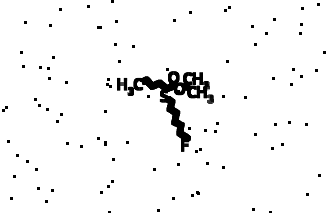 CCCCC(SCCCCCCCF)C(=O)OC(C)C